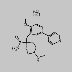 CNC1CCC(Cc2cc(-c3ccncc3)ccc2OC)(C(N)=O)CC1.Cl.Cl